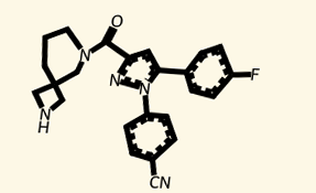 N#Cc1ccc(-n2nc(C(=O)N3CCCC4(CNC4)C3)cc2-c2ccc(F)cc2)cc1